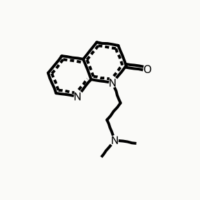 CN(C)CCn1c(=O)ccc2cccnc21